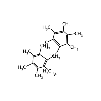 Cc1c(C)c(C)c(C)c(C)c1C.Cc1c(C)c(C)c(C)c(C)c1C.[V]